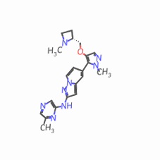 Cc1cncc(Nc2cc3cc(-c4c(OC[C@H]5CCN5C)cnn4C)ccn3n2)n1